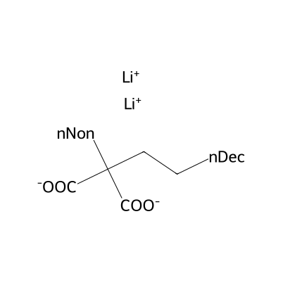 CCCCCCCCCCCCC(CCCCCCCCC)(C(=O)[O-])C(=O)[O-].[Li+].[Li+]